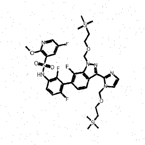 COc1ncc(F)cc1S(=O)(=O)Nc1ccc(F)c(-c2ccc3c(-c4nccn4COCC[Si](C)(C)C)nn(COCC[Si](C)(C)C)c3c2F)c1F